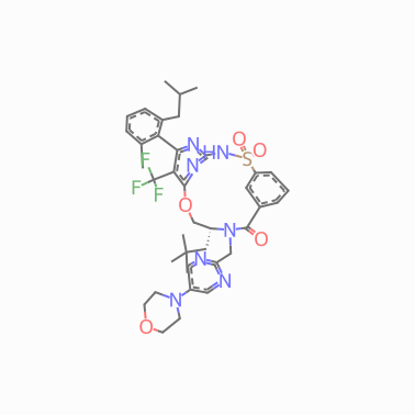 Cc1cccc(CC(C)C)c1-c1nc2nc(c1C(F)(F)F)OC[C@@H](CC(C)(C)C)N(Cc1ncc(N3CCOCC3)cn1)C(=O)c1cccc(c1)S(=O)(=O)N2